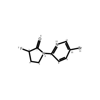 O=C1C(F)CCN1c1ccc(Br)cn1